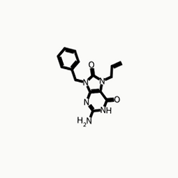 C=CCn1c(=O)n(Cc2ccccc2)c2nc(N)[nH]c(=O)c21